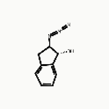 [N-]=[N+]=N[C@@H]1Cc2ccccc2[C@H]1O